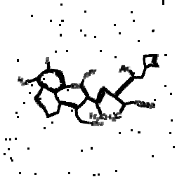 CCC/C=C(C(/CC(C)CC)=C1/CCCc2c(C)c(F)cc(C)c21)\C(C)=C\C(=C(\CC1CCC1)C(C)=O)C(C)OC